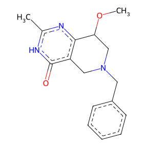 COC1CN(Cc2ccccc2)Cc2c1nc(C)[nH]c2=O